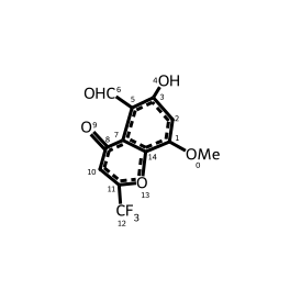 COc1cc(O)c(C=O)c2c(=O)cc(C(F)(F)F)oc12